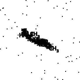 CC[C@@H]1C[C@H](NS(=O)(=O)C2CC2)C[C@@H]1CNCCCc1cnc2c(ccn2S(=O)(=O)c2ccc(C)cc2)c1Cl